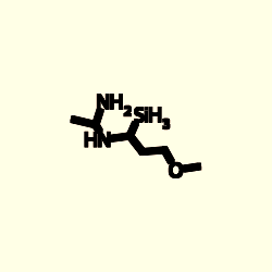 COCCC([SiH3])NC(C)N